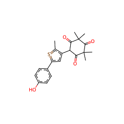 Cc1sc(-c2ccc(O)cc2)cc1C1C(=O)C(C)(C)C(=O)C(C)(C)C1=O